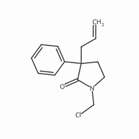 C=CCC1(c2ccccc2)CCN(CCl)C1=O